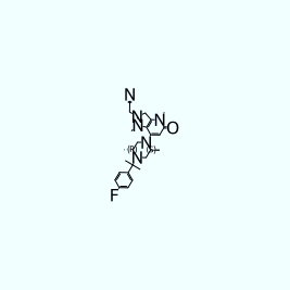 C[C@@H]1CN(c2cc(=O)n(C)c3c2N(C)N(CC#N)C3)[C@@H](C)CN1C(C)(C)c1ccc(F)cc1